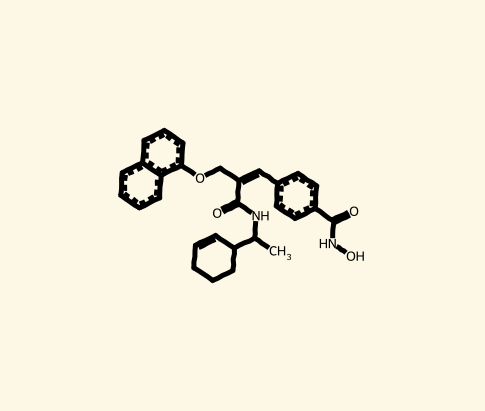 CC(NC(=O)C(=Cc1ccc(C(=O)NO)cc1)COc1cccc2ccccc12)C1C=CCCC1